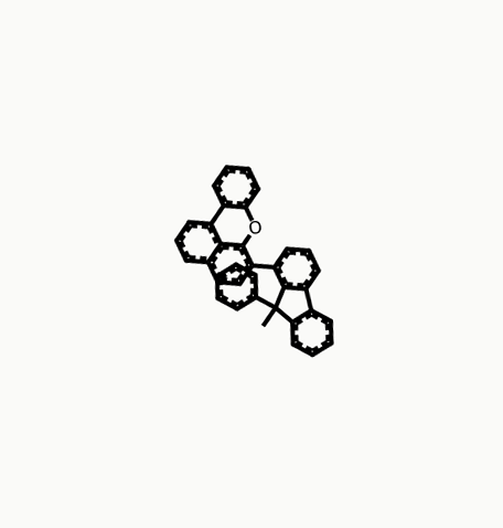 CC1(c2ccccc2)c2ccccc2-c2cccc(-c3ccc4cccc5c4c3Oc3ccccc3-5)c21